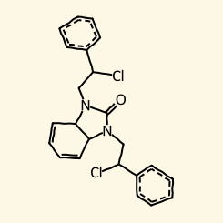 O=C1N(CC(Cl)c2ccccc2)C2C=CC=CC2N1CC(Cl)c1ccccc1